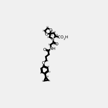 O=C(CCCOc1ccc(C2CC2)cc1)NCC(=O)N1CC2(CC1C(=O)O)OCCO2